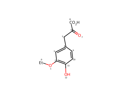 CCOc1cc(CC(=O)C(=O)O)ccc1O